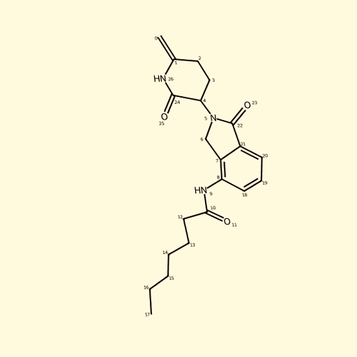 C=C1CCC(N2Cc3c(NC(=O)CCCCCC)cccc3C2=O)C(=O)N1